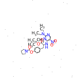 CCN(CC)c1ncc([N+](=O)[O-])c(NC(Cc2ccc(OC(=O)N3CCCC3)cc2)C(=O)OC(C)(C)C)n1